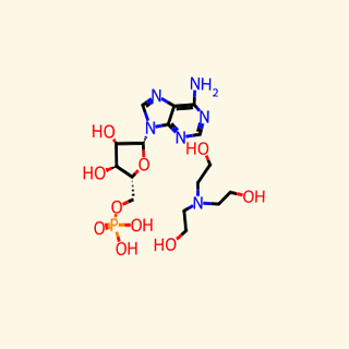 Nc1ncnc2c1ncn2[C@@H]1O[C@H](COP(=O)(O)O)[C@@H](O)[C@H]1O.OCCN(CCO)CCO